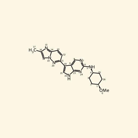 CO[C@H]1CC[C@@H](Nc2ncc3c(-c4ccc5nc(C)cn5n4)c[nH]c3n2)CC1